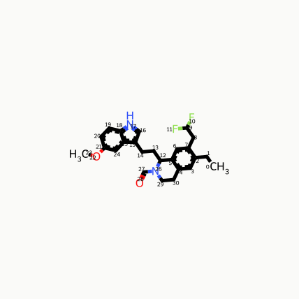 CCc1cc2c(cc1CC(F)F)C(CCc1c[nH]c3ccc(OC)cc13)N(C=O)CC2